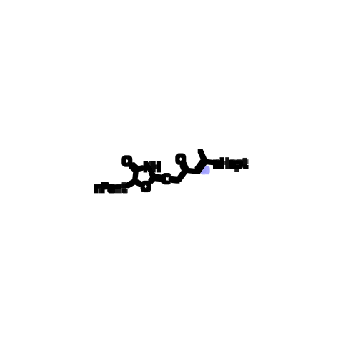 CCCCCCC/C(C)=C/C(=O)C=C=C1NC(=O)C(CCCCC)O1